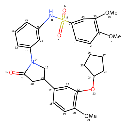 COc1ccc(S(=O)(=O)Nc2cccc(N3CC(c4ccc(OC)c(OC5CCCC5)c4)CC3=O)c2)cc1OC